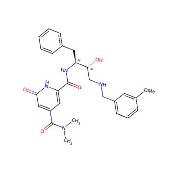 COc1cccc(CNC[C@@H](O)[C@H](Cc2ccccc2)NC(=O)c2cc(C(=O)N(C)C)cc(=O)[nH]2)c1